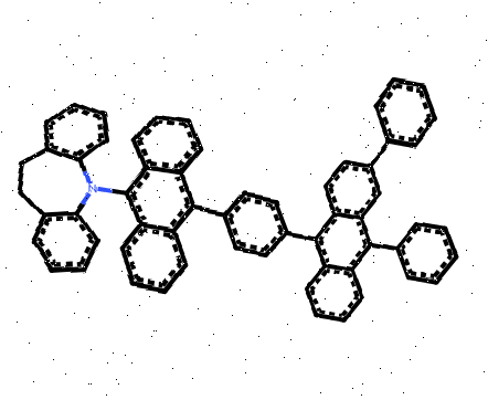 c1ccc(-c2ccc3c(-c4ccc(-c5c6ccccc6c(N6c7ccccc7CCc7ccccc76)c6ccccc56)cc4)c4ccccc4c(-c4ccccc4)c3c2)cc1